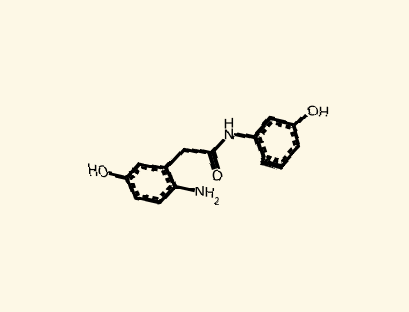 Nc1ccc(O)cc1CC(=O)Nc1cccc(O)c1